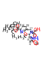 COc1nc(B2OC(C)(C)C(C)(C)O2)ccc1CN(CC1CCC(=O)N1)C(=O)O